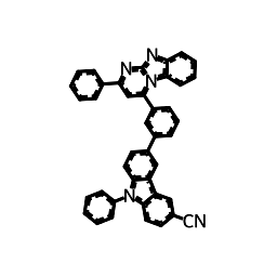 N#Cc1ccc2c(c1)c1cc(-c3cccc(-c4cc(-c5ccccc5)nc5nc6ccccc6n45)c3)ccc1n2-c1ccccc1